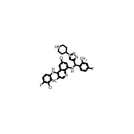 Cc1cc(F)ccc1C(Nc1cc(Cl)cc2c(Nc3ccc(F)c(Cl)c3)c(C#N)cnc12)c1cn(C2CCNCC2)nn1